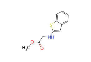 COC(=O)CNc1cc2ccccc2s1